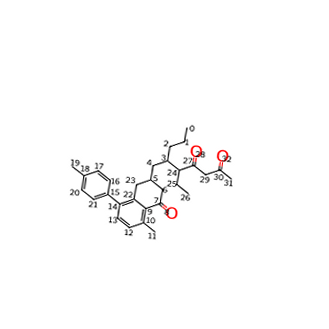 CCCC(CC1CC(=O)c2c(C)ccc(-c3ccc(C)cc3)c2C1)C(CC)C(=O)CC(C)=O